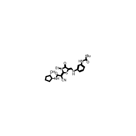 CCn1c(=C(C#N)C(=O)N[C@H]2CCC[C@@H]2O)sc(=CNc2cccc(NC(=O)C(C)(C)C)c2)c1=O